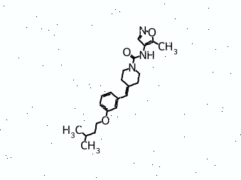 Cc1oncc1NC(=O)N1CCC(=Cc2cccc(OCCC(C)C)c2)CC1